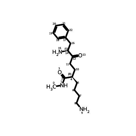 CNC(=O)[C@H](CCCCN)CCC(=O)[C@@H](N)Cc1ccccc1